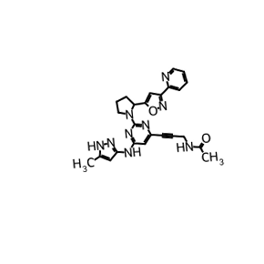 CC(=O)NCC#Cc1cc(Nc2cc(C)[nH]n2)nc(N2CCCC2c2cc(-c3ccccn3)no2)n1